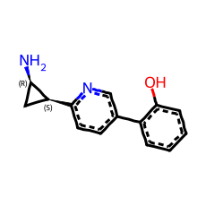 N[C@@H]1C[C@@H]1c1ccc(-c2ccccc2O)cn1